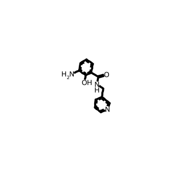 Nc1cccc(C(=O)NCc2cccnc2)c1O